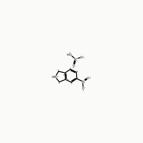 O=[N+]([O-])O.O=[N+]([O-])c1ccc2c(c1)CNC2